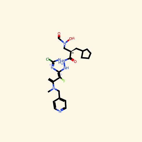 C=C(/C(F)=C(\N=C(/N)Cl)NNC(=O)[C@H](CC1CCCC1)CN(O)C=O)N(C)Cc1ccncc1